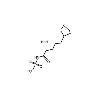 CS(=O)(=O)NC(=O)CCCCC1CCSS1.[NaH]